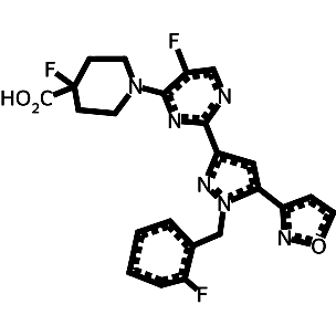 O=C(O)C1(F)CCN(c2nc(-c3cc(-c4ccon4)n(Cc4ccccc4F)n3)ncc2F)CC1